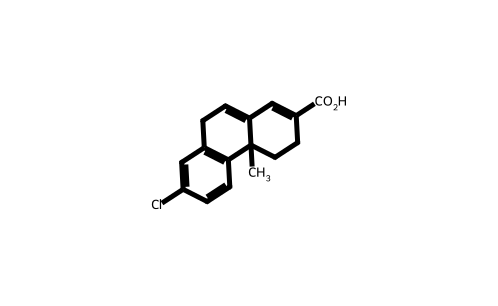 CC12CCC(C(=O)O)=CC1=CCc1cc(Cl)ccc12